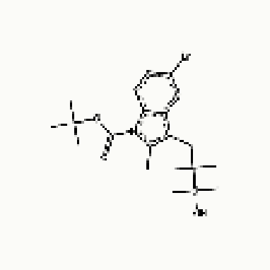 Cc1c(CC(C)(C)[Si](C)(C)O)c2cc(Br)ccc2n1C(=O)OC(C)(C)C